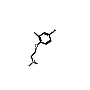 Cc1cc(F)ccc1OCCN(C)C